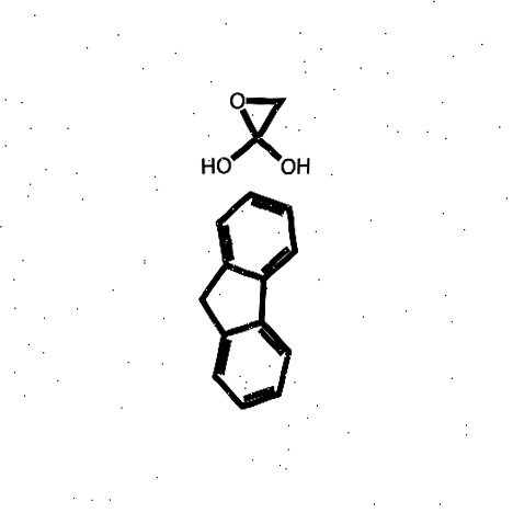 OC1(O)CO1.c1ccc2c(c1)Cc1ccccc1-2